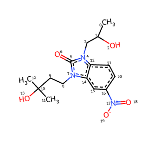 CC(O)Cn1c(=O)n(CCC(C)(C)O)c2cc([N+](=O)[O-])ccc21